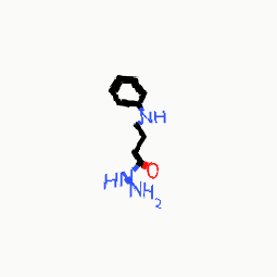 NNC(=O)CCCNc1ccccc1